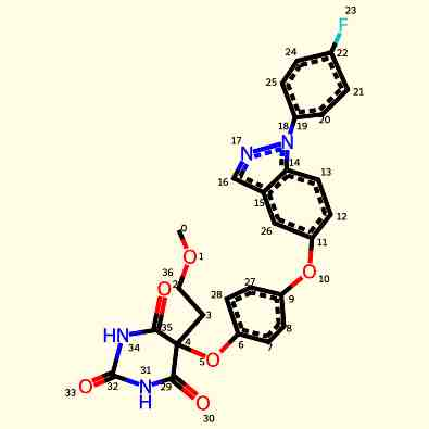 COCCC1(Oc2ccc(Oc3ccc4c(cnn4-c4ccc(F)cc4)c3)cc2)C(=O)NC(=O)NC1=O